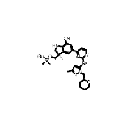 Cc1cc(Nc2nccc(-c3cc(C#N)c4c(c3)[C@@](C)(CO[Si](C)(C)C(C)(C)C)CN4)n2)n(CC2CCCCO2)n1